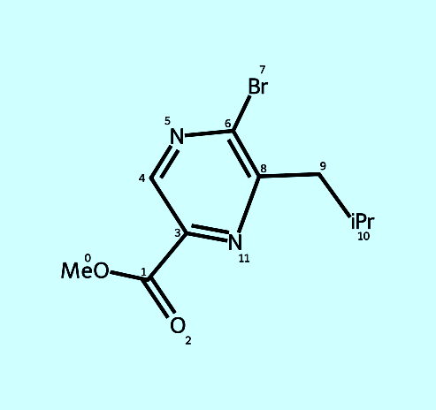 COC(=O)c1cnc(Br)c(CC(C)C)n1